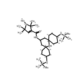 CC1(C)C=C(C(=O)NC2CC3(CCC(O[Si](C)(C)C(C)(C)C)CC3)NC3(CCC(O[Si](C)(C)C(C)(C)C)CC3)C2)C(C)(C)N1O